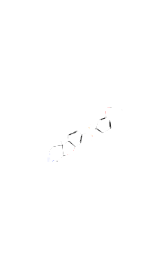 CC12CCNCC1Oc1cc(S(=O)(=O)c3cccc(OC(F)(F)F)c3)ccc12